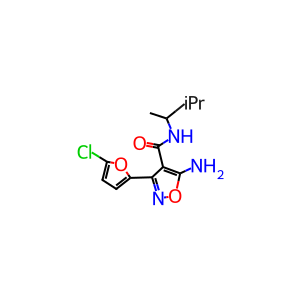 CC(C)C(C)NC(=O)c1c(-c2ccc(Cl)o2)noc1N